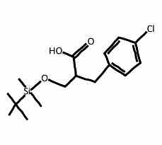 CC(C)(C)[Si](C)(C)OCC(Cc1ccc(Cl)cc1)C(=O)O